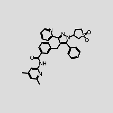 Cc1cc(C)nc(NC(=O)c2cccc(Cc3c(-c4ccccn4)nn(C4CCS(=O)(=O)C4)c3-c3ccccc3)c2)c1